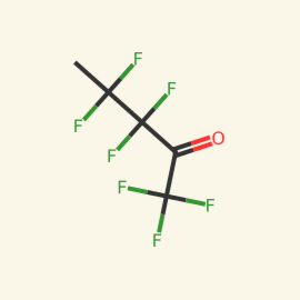 CC(F)(F)C(F)(F)C(=O)C(F)(F)F